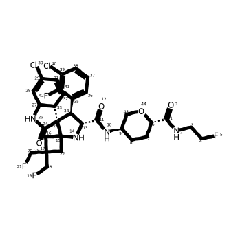 O=C(NCCF)[C@@H]1CC[C@@H](NC(=O)[C@@H]2NC3(CC(CF)(CF)C3)[C@@]3(C(=O)NC4C=C(Cl)C=CC43)[C@H]2c2cccc(Cl)c2F)CO1